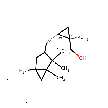 CC12CC(C[C@@H]3C[C@@]3(C)CO)C(C)(C)C1(C)C2